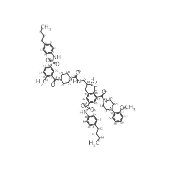 CCCCc1ccc(NS(=O)(=O)c2ccc(C)c(C(=O)N3CCN(C(=O)NCC(C)Cc4cc(S(=O)(=O)Nc5ccc(CCCC)cc5)cc(C(=O)N5CCN(c6ccccc6OC)CC5)c4F)CC3)c2)cc1